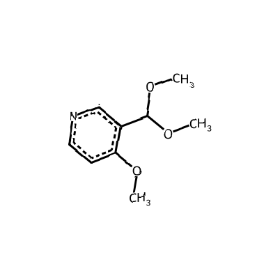 COc1ccn[c]c1C(OC)OC